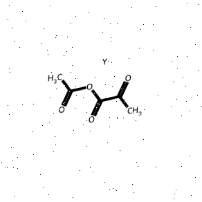 CC(=O)OC(=O)C(C)=O.[Y]